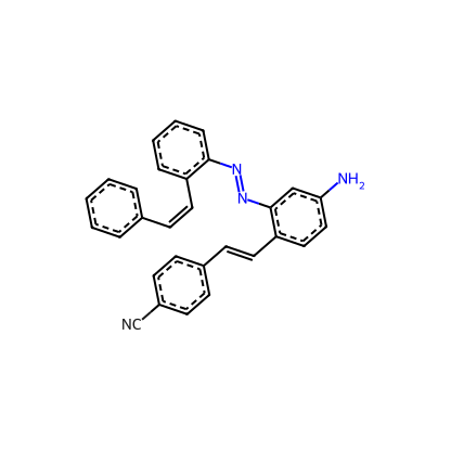 N#Cc1ccc(C=Cc2ccc(N)cc2N=Nc2ccccc2C=Cc2ccccc2)cc1